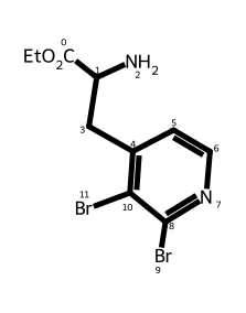 CCOC(=O)C(N)Cc1ccnc(Br)c1Br